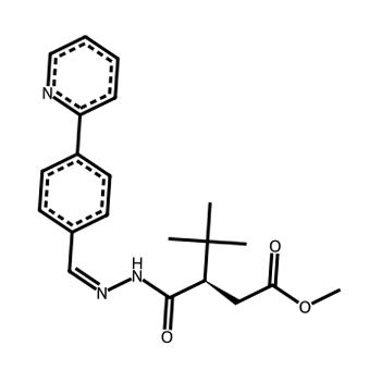 COC(=O)C[C@@H](C(=O)N/N=C\c1ccc(-c2ccccn2)cc1)C(C)(C)C